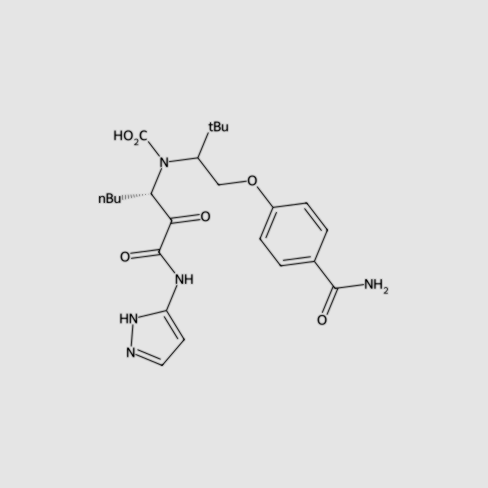 CCCC[C@@H](C(=O)C(=O)Nc1ccn[nH]1)N(C(=O)O)C(COc1ccc(C(N)=O)cc1)C(C)(C)C